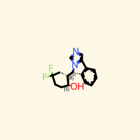 O[C@H]1CCC(F)(F)C[C@@H]1[C@H]1c2ccccc2-c2cncn21